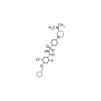 CN(C)[C@H]1CCCN(c2ccc(S(=O)(=O)NC(=O)c3cc(Cl)c(OCC4CCCC4)cc3F)cc2)C1